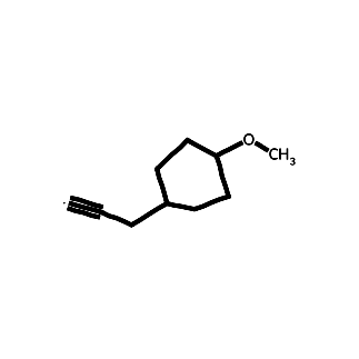 [C]#CCC1CCC(OC)CC1